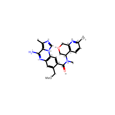 COCc1cc2nc(N)c3c(C)ncn3c2cc1C(=O)N(C)C1COCc2nc(C(F)(F)F)ccc21